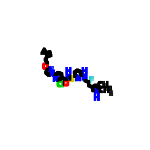 CC1(C)CC(CC(F)CNc2cccc(SNC(=O)c3ccc(-n4ccc(OCCC5CCC56CC6)n4)nc3Cl)n2)CN1